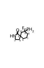 O=C1NCCC12CCCC(F)(P)C2